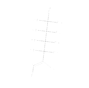 F/[C]=C(\F)C(F)(F)C(F)(F)C(F)(F)C(F)(F)F